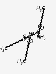 CCCCCCCCCCCCOC(=O)CCN(CCN)CCNCCN(CCC(=O)OCCCCCCCCCCCC)CCC(=O)OCCCCCCCCCCCC